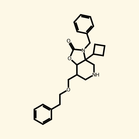 O=C1OC2C(COCCc3ccccc3)CNCC2(C2CCC2)N1Cc1ccccc1